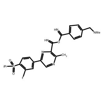 CNCc1ccc(C(=N)OC(=N)c2nc(-c3ccc(S(=O)(=O)C(C)C)c(F)c3)cnc2C)cc1